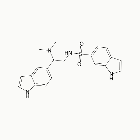 CN(C)C(CNS(=O)(=O)c1ccc2cc[nH]c2c1)c1ccc2[nH]ccc2c1